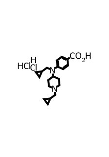 Cl.Cl.O=C(O)c1ccc(N(CC2CC2)C2CCN(CC3CC3)CC2)cc1